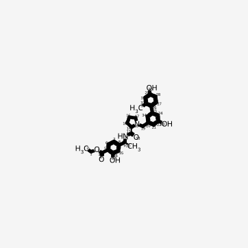 CCOC(=O)c1ccc([C@H](C)NC(=O)[C@H]2CCCN2Cc2cc(O)cc(-c3ccc(O)cc3C)c2)cc1O